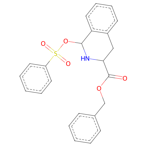 O=C(OCc1ccccc1)C1Cc2ccccc2C(OS(=O)(=O)c2ccccc2)N1